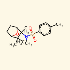 Cc1ccc(S(=O)(=O)N(C)C2(C)C3CCC(O3)C2(C)C)cc1